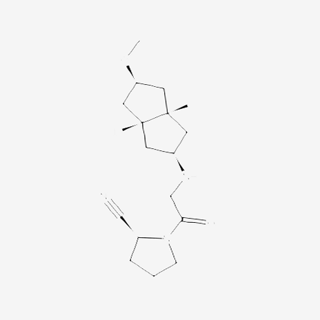 CO[C@@H]1C[C@H]2C[C@H](NCC(=O)N3CCC[C@H]3C#N)C[C@H]2C1